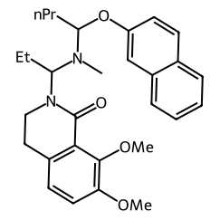 CCCC(Oc1ccc2ccccc2c1)N(C)C(CC)N1CCc2ccc(OC)c(OC)c2C1=O